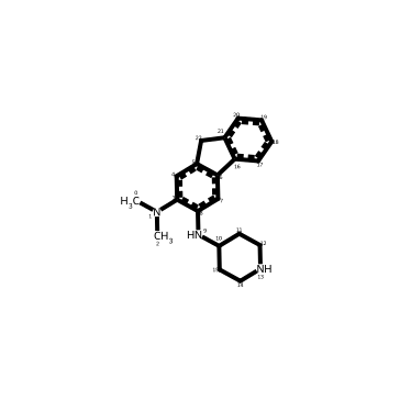 CN(C)c1cc2c(cc1NC1CCNCC1)-c1ccccc1C2